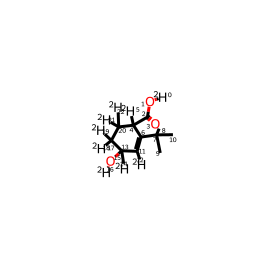 [2H]OC(=O)C1([2H])C(C(C)(C)C)=C([2H])C([2H])(O[2H])C([2H])([2H])C1([2H])[2H]